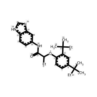 CCC(Oc1ccc(C(C)(C)CC)cc1C(C)(C)CC)C(=O)Nc1ccc2[nH]cnc2c1